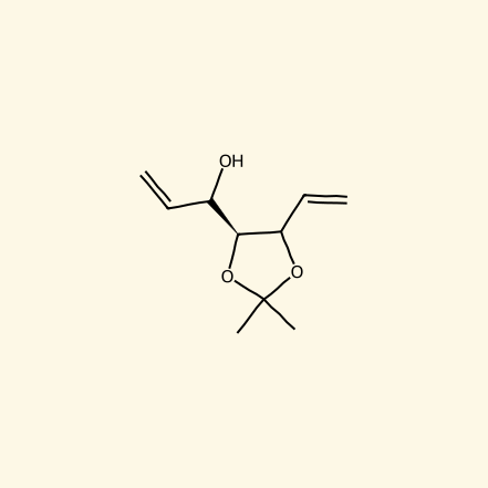 C=CC(O)[C@@H]1OC(C)(C)OC1C=C